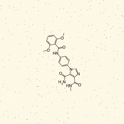 CNC(=O)c1ncn(-c2ccc(NC(=O)c3c(OC)cccc3OC)cc2)c1C(N)=O